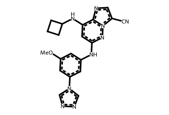 COc1cc(Nc2cc(NC3CCC3)c3ncc(C#N)n3n2)cc(-n2cnnc2)c1